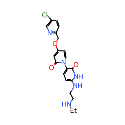 CCNCCNc1ccc(-n2ccc(OCc3ccc(Cl)cn3)cc2=O)c(=O)[nH]1